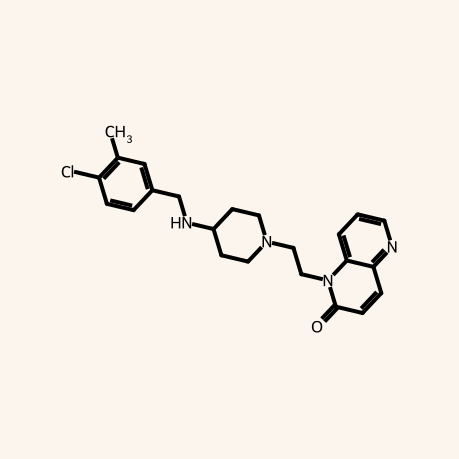 Cc1cc(CNC2CCN(CCn3c(=O)ccc4ncccc43)CC2)ccc1Cl